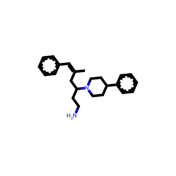 CC(=Cc1ccccc1)CC(CCN)N1CCC(c2ccccc2)CC1